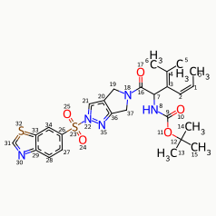 C/C=C\C(=C(C)C)C(NC(=O)OC(C)(C)C)C(=O)N1Cc2cn(S(=O)(=O)c3ccc4ncsc4c3)nc2C1